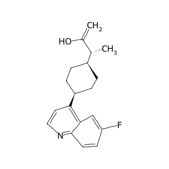 C=C(O)[C@H](C)[C@H]1CC[C@@H](c2ccnc3ccc(F)cc32)CC1